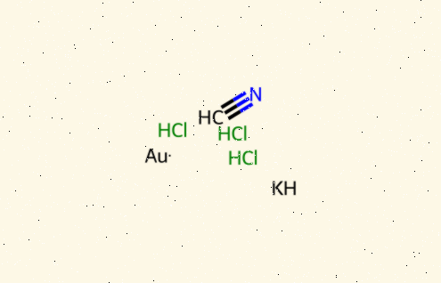 C#N.Cl.Cl.Cl.[Au].[KH]